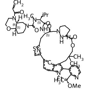 C=CC(=O)N1CCO[C@H]2CCN(C(=O)N(C)[C@H](C(=O)N[C@H]3Cc4nc(cs4)-c4ccc5c(c4)c(c(-c4cccnc4[C@H](C)OC)n5CC)CC(C)(C)COC(=O)[C@@H]4CCCN(N4)C3=O)C(C)C)C[C@H]21